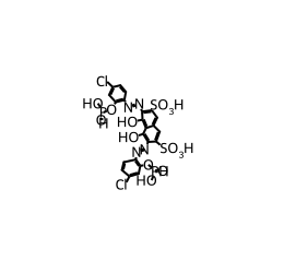 O=[PH](O)Oc1cc(Cl)ccc1N=Nc1c(S(=O)(=O)O)cc2cc(S(=O)(=O)O)c(N=Nc3ccc(Cl)cc3O[PH](=O)O)c(O)c2c1O